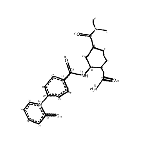 CN(C)C(=O)C1CCC(C(N)=O)C(NC(=O)c2ccc(-n3ccccc3=O)cc2)C1